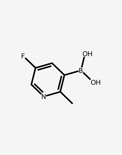 Cc1ncc(F)cc1B(O)O